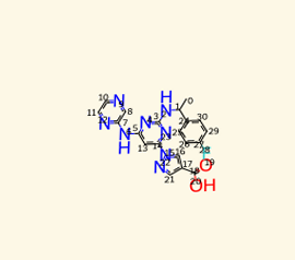 CC(Nc1nc(Nc2cnccn2)cc(-n2cc(C(=O)O)cn2)n1)c1ccc(F)cc1